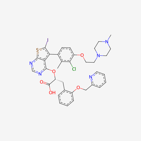 Cc1c(-c2c(I)sc3ncnc(O[C@H](Cc4ccccc4OCc4ccccn4)C(=O)O)c23)ccc(OCCN2CCN(C)CC2)c1Cl